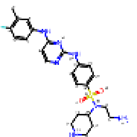 Cc1cc(Nc2ccnc(Nc3ccc(S(=O)(=O)N(CCN)C4CCNCC4)cc3)n2)ccc1F